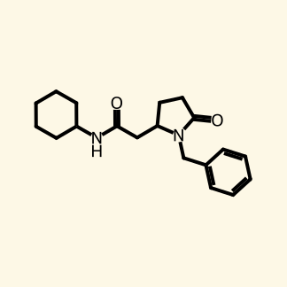 O=C(CC1CCC(=O)N1Cc1ccccc1)NC1CCCCC1